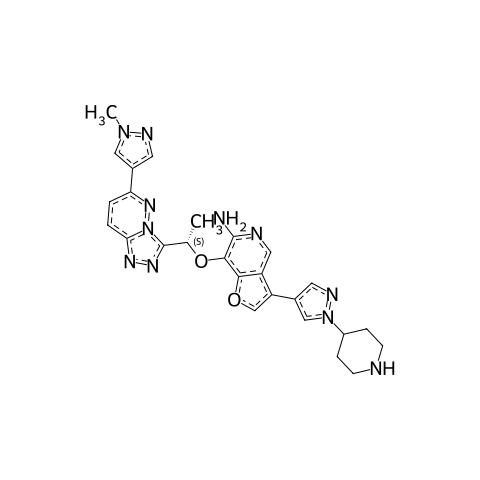 C[C@H](Oc1c(N)ncc2c(-c3cnn(C4CCNCC4)c3)coc12)c1nnc2ccc(-c3cnn(C)c3)nn12